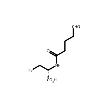 O=CCCCC(=O)N[C@@H](CS)C(=O)O